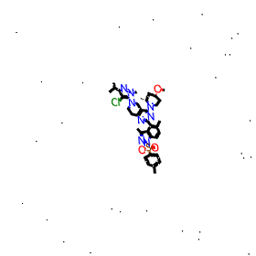 CO[C@@H]1CCN(c2nc(-c3c(C)ccc4c3c(C)nn4S(=O)(=O)c3ccc(C)cc3)nc3c2CN(c2c(Cl)c(C(C)C)nn2C)CC3)[C@H](C)C1